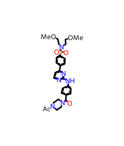 COCCN(CCOC)S(=O)(=O)c1ccc(-c2ccnc(Nc3ccc(C(=O)N4CCN(C(C)=O)CC4)cc3)n2)cc1